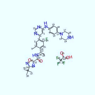 Cc1cc(-c2cc(Nc3ccc(N4CCNCC4)cc3)ncn2)c(F)cc1[C@@H](C)NC(=O)c1nc(C(C)(C)C)no1.O=C(O)C(F)(F)F